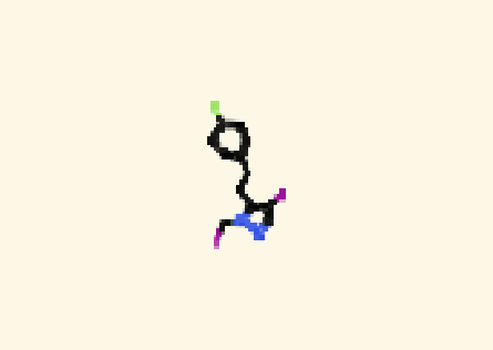 Fc1ccc(CCc2c(I)cnn2CI)cc1